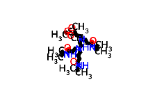 CO[Si](CCCN(CCC(=O)NC(C)C)CCN(CCCC(=O)NC(C)C)CCC(=O)NC(C)C)(OC)OC